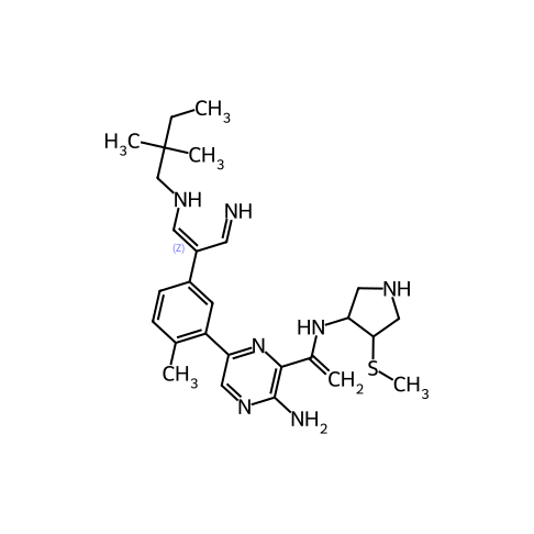 C=C(NC1CNCC1SC)c1nc(-c2cc(/C(C=N)=C/NCC(C)(C)CC)ccc2C)cnc1N